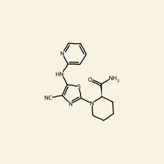 N#Cc1nc(N2CCC[CH][C@@H]2C(N)=O)sc1Nc1ccccn1